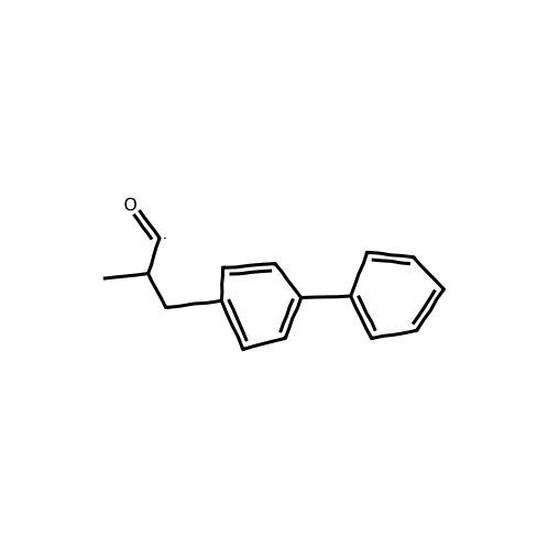 CC([C]=O)Cc1ccc(-c2ccccc2)cc1